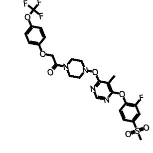 Cc1c(Oc2ccc(S(C)(=O)=O)cc2F)ncnc1ON1CCN(C(=O)COc2ccc(OC(F)(F)F)cc2)CC1